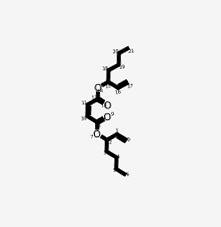 C=CC(CCCC)OC(=O)/C=C\C(=O)OC(C=C)CCCC